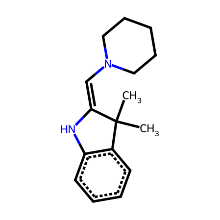 CC1(C)/C(=C\N2CCCCC2)Nc2ccccc21